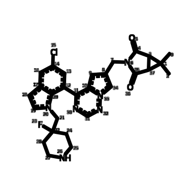 CC1(C)C2C(=O)N(Cc3cc4c(-c5cc(Cl)cc6ccn(CC7(F)CCNCC7)c56)ncnn4c3)C(=O)C21